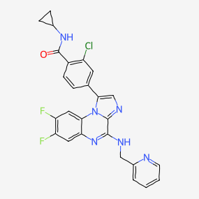 O=C(NC1CC1)c1ccc(-c2cnc3c(NCc4ccccn4)nc4cc(F)c(F)cc4n23)cc1Cl